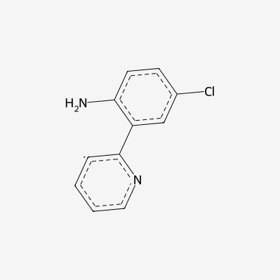 Nc1ccc(Cl)cc1-c1[c]cccn1